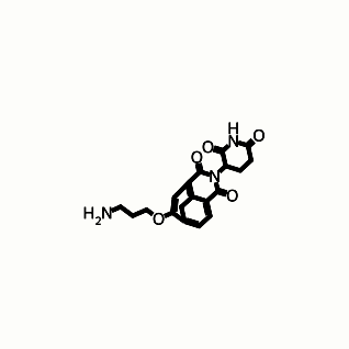 NCCCOC1=CC2=C3CC1=CC=C3C(=O)N(C1CCC(=O)NC1=O)C2=O